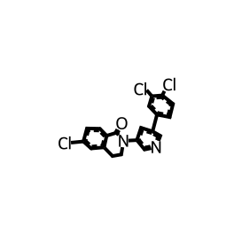 O=C1c2ccc(Cl)cc2CCN1c1cncc(-c2ccc(Cl)c(Cl)c2)c1